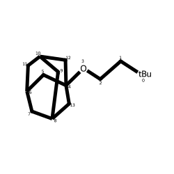 CC(C)(C)CCOC12CC3CC(CC(C3)C1)C2